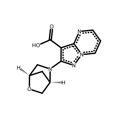 O=C(O)c1c(N2C[C@H]3C[C@@H]2CO3)nn2cccnc12